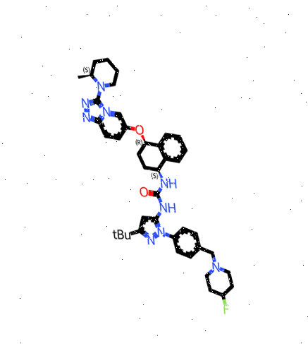 C[C@H]1CCCCN1c1nnc2ccc(O[C@@H]3CC[C@H](NC(=O)Nc4cc(C(C)(C)C)nn4-c4ccc(CN5CCC(F)CC5)cc4)c4ccccc43)cn12